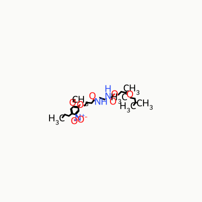 CCCc1cc(OC)c(OCCCC(=O)NCCNC(=O)OCCC(C)(C)OCCC(C)C)cc1[N+](=O)[O-]